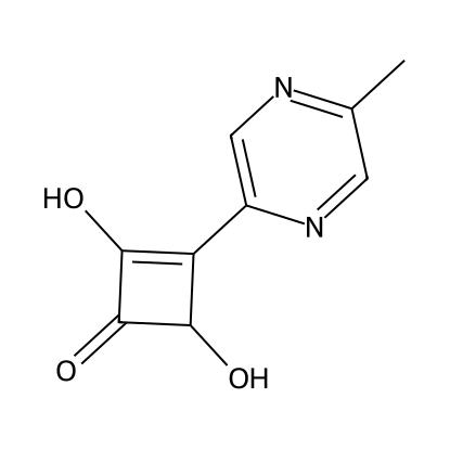 Cc1cnc(C2=C(O)C(=O)C2O)cn1